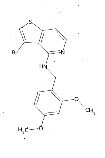 COc1ccc(CNc2nccc3scc(Br)c23)c(OC)c1